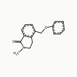 CN1CCc2c(COc3ccccc3)cccc2C1=O